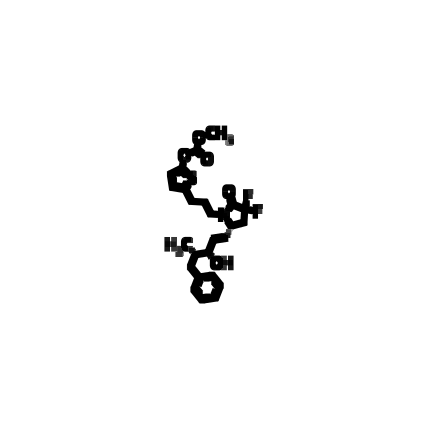 COC(=O)Oc1ccc(CCCN2C(=O)C(F)(F)C[C@@H]2/C=C/[C@@H](O)[C@@H](C)Cc2ccccc2)s1